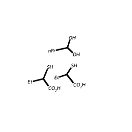 CCC(S)C(=O)O.CCC(S)C(=O)O.CCCC(O)O